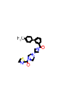 O=C(c1cccc(-c2ccc(C(F)(F)F)cc2)c1)N1CC(N2CCN(C(=O)c3nccs3)CC2)C1